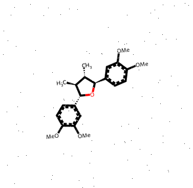 COc1ccc([C@H]2O[C@H](c3ccc(OC)c(OC)c3)[C@@H](C)[C@@H]2C)cc1OC